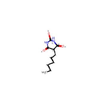 CCCCCCC1C(=O)NC(=O)NC1=O